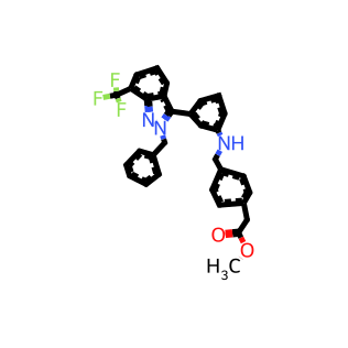 COC(=O)Cc1ccc(CNc2cccc(-c3c4cccc(C(F)(F)F)c4nn3Cc3ccccc3)c2)cc1